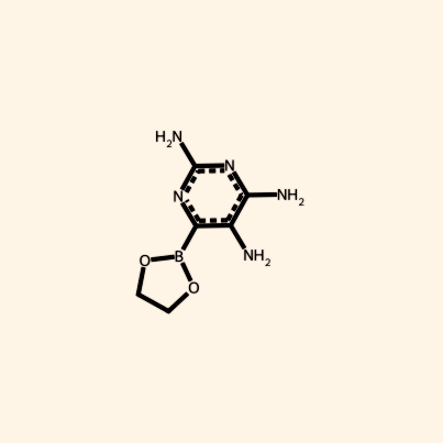 Nc1nc(N)c(N)c(B2OCCO2)n1